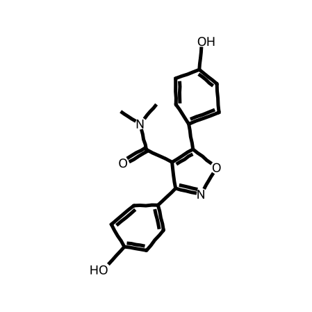 CN(C)C(=O)c1c(-c2ccc(O)cc2)noc1-c1ccc(O)cc1